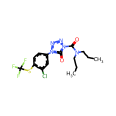 CCCN(CCC)C(=O)n1nnn(-c2ccc(SC(F)(F)F)c(Cl)c2)c1=O